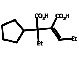 CCC=C(C(=O)O)C(CC)(C(=O)O)C1CCCC1